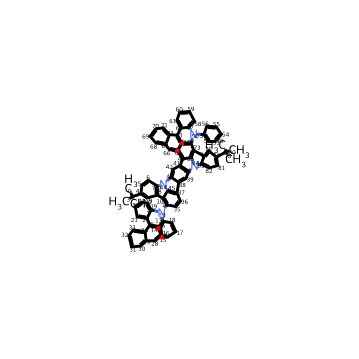 CC(C)(C)c1ccc2c(c1)c1c(N(c3ccccc3)c3ccccc3-c3cccc4ccccc34)ccc3c4cc5c(cc4n2c31)c1ccc(N(c2ccccc2)c2ccccc2-c2cccc3ccccc23)c2c3cc(C(C)(C)C)ccc3n5c12